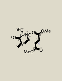 C=CC#N.C=CC(=O)OCCC.COC(=O)/C=C/C(=O)OC